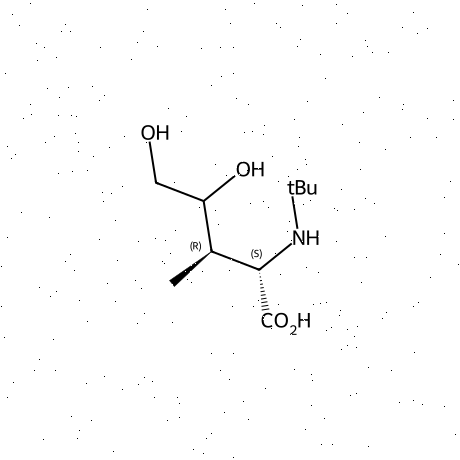 C[C@@H](C(O)CO)[C@H](NC(C)(C)C)C(=O)O